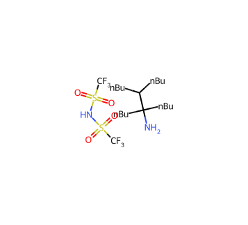 CCCCC(CCCC)C(N)(CCCC)CCCC.O=S(=O)(NS(=O)(=O)C(F)(F)F)C(F)(F)F